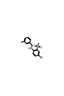 Cc1cc[c]c(CNc2ccc(Br)cc2S(C)(=O)=O)c1